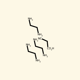 N#CCC(=O)O.NCCN.NCCN.NCCN